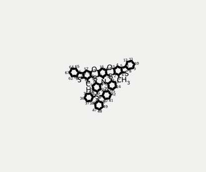 Cc1c2c(cc3c1sc1ccccc13)Oc1cc3c4c5c1B2c1ccccc1N5c1cc([Si](c2ccccc2)(c2ccccc2)c2ccccc2)ccc1B4c1c(cc2c(sc4ccccc42)c1C)O3